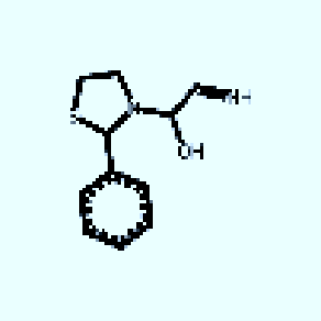 N=CC(O)N1CCSC1c1ccccc1